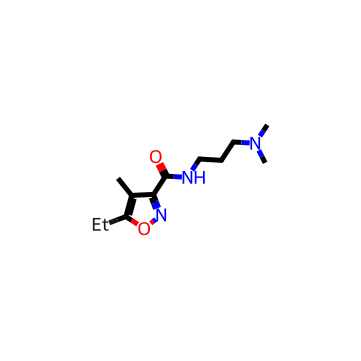 CCc1onc(C(=O)NCCCN(C)C)c1C